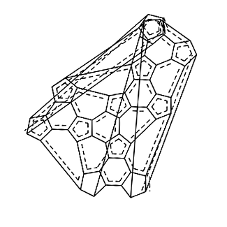 c12c3c4c5c6c7c8c9c%10c%11c%12c%13c(c%14c1c1c%15c3c3c5c5c6c6c8c8c%16c9c%12c9c%12c%13c%13c%14c1c1c%14c%15c3c3c5c5c6c8c6c(c9%16)c8c%12c%13c1c1c%14c3c5c6c81)C%11C2C4C%107